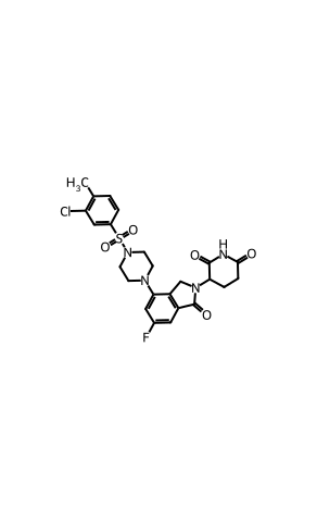 Cc1ccc(S(=O)(=O)N2CCN(c3cc(F)cc4c3CN(C3CCC(=O)NC3=O)C4=O)CC2)cc1Cl